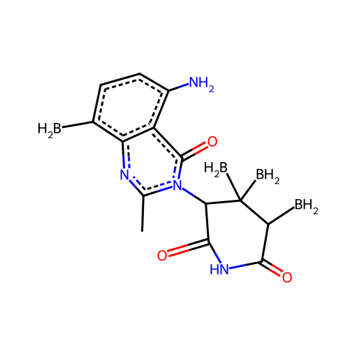 Bc1ccc(N)c2c(=O)n(C3C(=O)NC(=O)C(B)C3(B)B)c(C)nc12